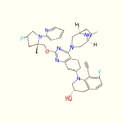 C#Cc1c(F)ccc2c1N(C1=Cc3nc(OC[C@]4(C)C[C@@H](F)CN4c4ccccn4)nc(N4C[C@H]5CC(C)[C@@H](C4)N5)c3CC1)C[C@@H](O)C2